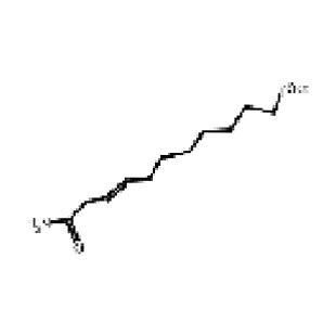 CCCCCCCCCCCCCCCC=CCC(N)=O